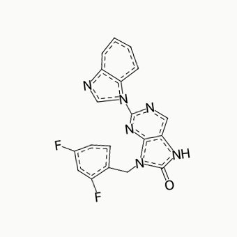 O=c1[nH]c2cnc(-n3cnc4ccccc43)nc2n1Cc1ccc(F)cc1F